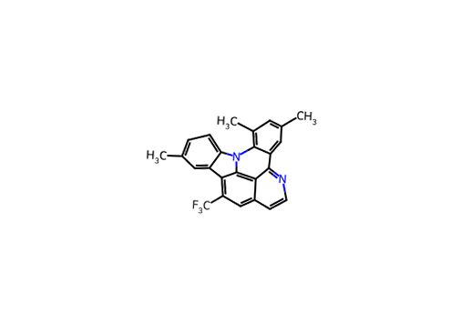 Cc1ccc2c(c1)c1c(C(F)(F)F)cc3ccnc4c5cc(C)cc(C)c5n2c1c34